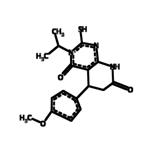 COc1ccc(C2CC(=O)Nc3nc(S)n(C(C)C)c(=O)c32)cc1